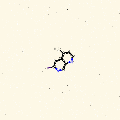 Cc1ccnc2cnc(I)cc12